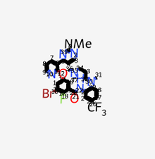 CNc1nccc(-c2cccnc2Oc2cc(Br)c(F)c(C(=O)Nc3cc(C(F)(F)F)ccc3N(C)CCCN(C)C)c2)n1